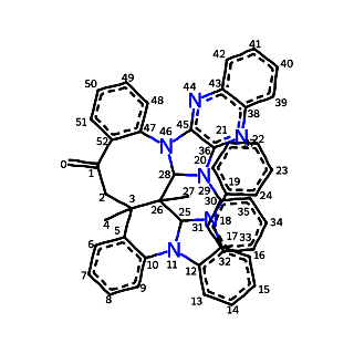 C=C1CC2(C)c3ccccc3N3c4ccccc4N(c4ccccc4)C3C2(C)C2N(c3ccccc3)c3nc4ccccc4nc3N2c2ccccc21